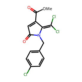 COC(=O)C1=CC(=O)N(Cc2ccc(Cl)cc2)C1=C(Cl)Cl